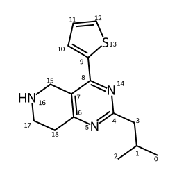 CC(C)Cc1nc2c(c(-c3cccs3)n1)CNCC2